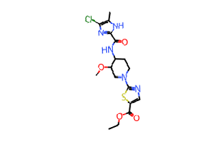 CCOC(=O)c1cnc(N2CCC(NC(=O)c3nc(Cl)c(C)[nH]3)C(OC)C2)s1